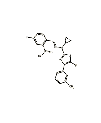 Cc1cccc(-c2nc(N(/N=C/c3ccc(F)cc3C(=O)O)C3CC3)sc2F)c1